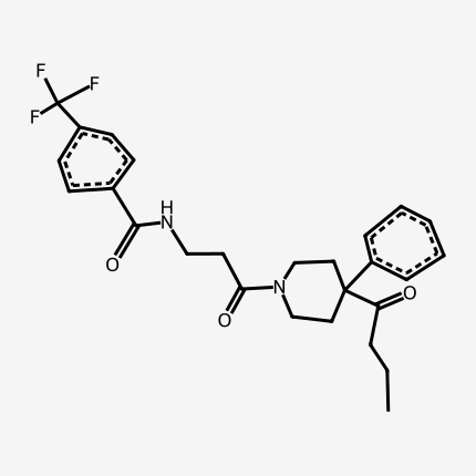 CCCC(=O)C1(c2ccccc2)CCN(C(=O)CCNC(=O)c2ccc(C(F)(F)F)cc2)CC1